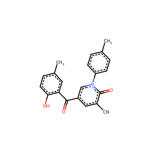 Cc1ccc(-n2cc(C(=O)c3cc(C)ccc3O)cc(C#N)c2=O)cc1